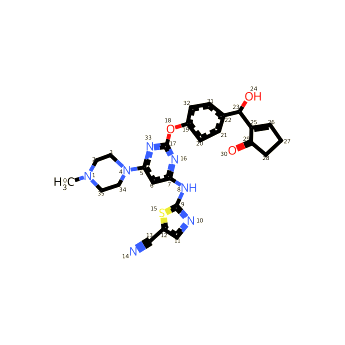 CN1CCN(c2cc(Nc3ncc(C#N)s3)nc(Oc3ccc(C(O)C4=CCCC4=O)cc3)n2)CC1